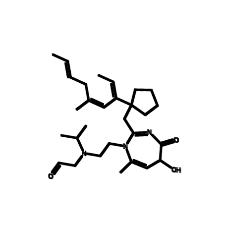 C/C=C/C/C(C)=C\C(=C/C)C1(CC2=NC(=O)C(O)C=C(C)N2CCN(CC=O)C(C)C)CCCC1